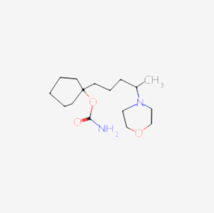 CC(CCCC1(OC(N)=O)CCCCC1)N1CCOCC1